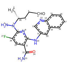 C[C@H](CCC=O)N(N)c1nc(Nc2cnc3ccccc3c2)c(C(N)=O)cc1F